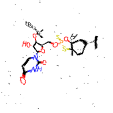 C=C(C)[C@@H]1CC[C@]2(C)S[P@@](=S)(OC[C@H]3O[C@@H](n4ccc(=O)[nH]c4=O)[C@H](O)C3O[Si](C)(C)C(C)(C)C)O[C@H]2C1